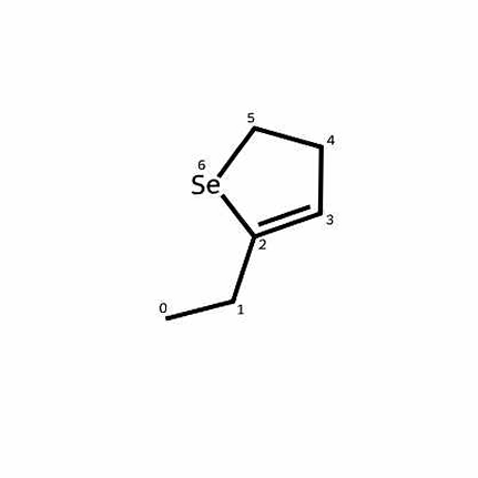 CCC1=CCC[Se]1